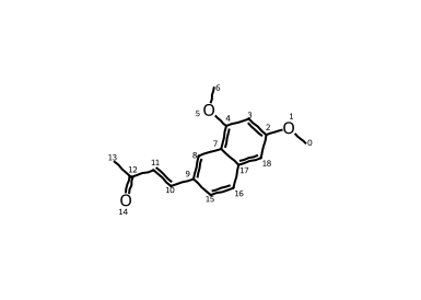 COc1cc(OC)c2cc(C=CC(C)=O)ccc2c1